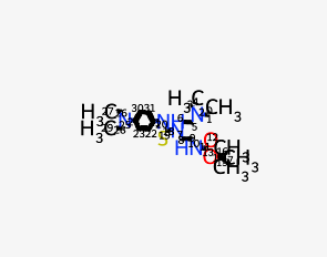 CCN(CC)CCN(CCNC(=O)OC(C)(C)C)C(=S)Nc1ccc(N(CC)CC)cc1